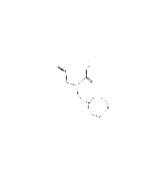 C=CCN(CC1OCCCO1)C(=O)CCl